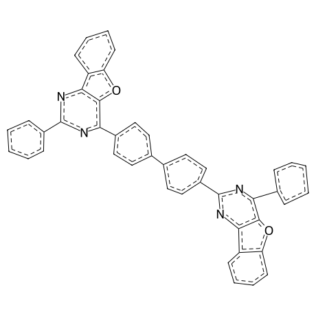 c1ccc(-c2nc(-c3ccc(-c4ccc(-c5nc(-c6ccccc6)c6oc7ccccc7c6n5)cc4)cc3)c3oc4ccccc4c3n2)cc1